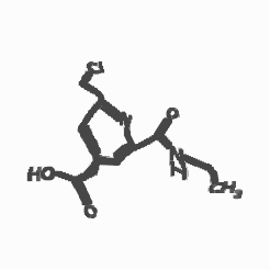 CCNC(=O)c1cc(C(=O)O)cc(CCl)n1